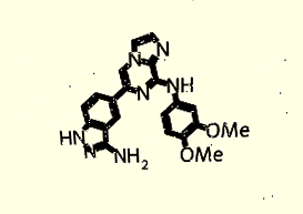 COc1ccc(Nc2nc(-c3ccc4[nH]nc(N)c4c3)cn3ccnc23)cc1OC